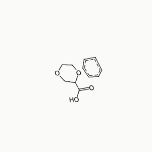 O=C(O)C1COCCO1.c1ccccc1